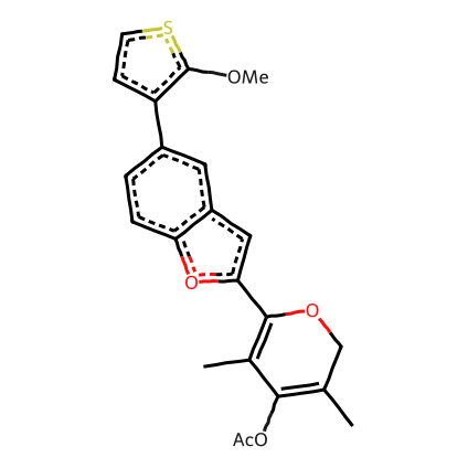 COc1sccc1-c1ccc2oc(C3=C(C)C(OC(C)=O)=C(C)CO3)cc2c1